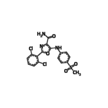 CS(=O)(=O)c1ccc(Nc2oc(-c3c(Cl)cccc3Cl)nc2C(N)=O)cc1